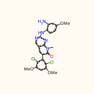 COc1ccc(Nc2ncc3cc(-c4c(Cl)c(OC)cc(OC)c4Cl)c(=O)n(C)c3n2)c(N)c1